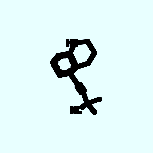 CC(C)(C#N)C#Cc1cccc2c1CCCN2